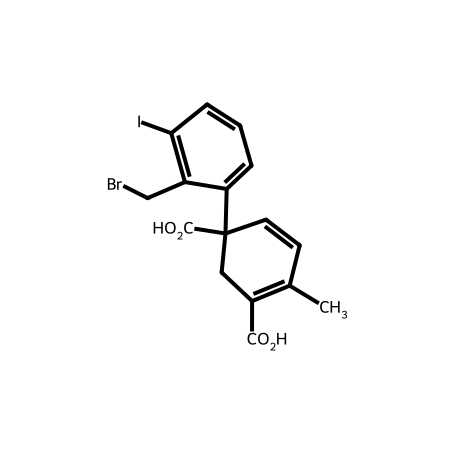 CC1=C(C(=O)O)CC(C(=O)O)(c2cccc(I)c2CBr)C=C1